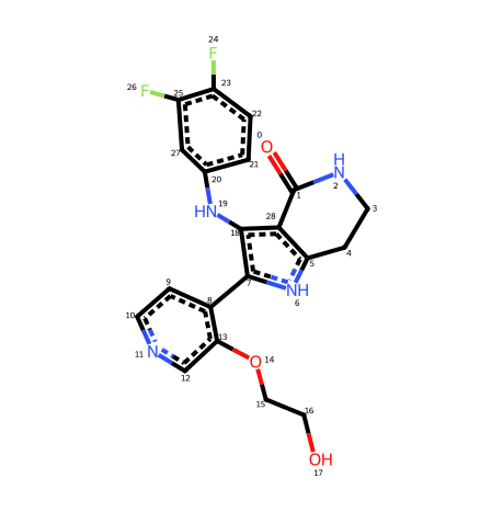 O=C1NCCc2[nH]c(-c3ccncc3OCCO)c(Nc3ccc(F)c(F)c3)c21